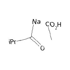 CC(=O)O.CC(C)[C](=O)[Na]